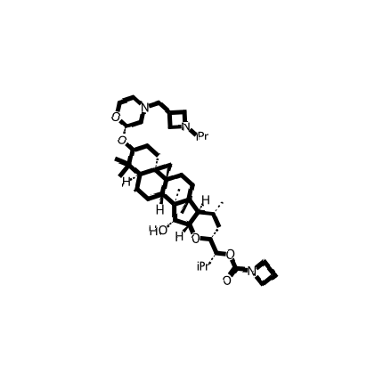 CC(C)[C@@H](OC(=O)N1CCC1)[C@H]1C[C@@H](C)[C@H]2[C@H](O1)[C@H](O)[C@@]1(C)[C@@H]3CC[C@H]4C(C)(C)C(O[C@H]5CN(CC6CN(C(C)C)C6)CCO5)CC[C@@]45C[C@@]35CC[C@]21C